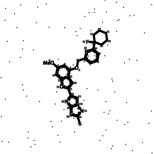 COc1cc(OCc2cccc(C3(F)CCCCC3)n2)c2cc(-c3cn4nc(C)sc4n3)oc2c1